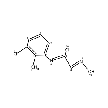 Cc1c(Cl)cccc1N=C(Cl)C=NO